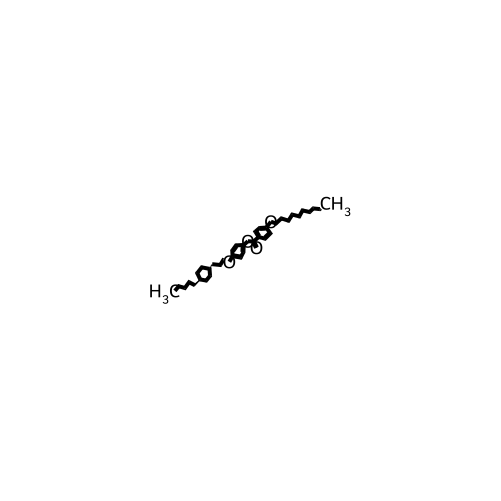 CCCCCCCCCCOc1ccc(C(=O)Oc2ccc(OCCC[C@H]3CC[C@H](CCCCC)CC3)cc2)cc1